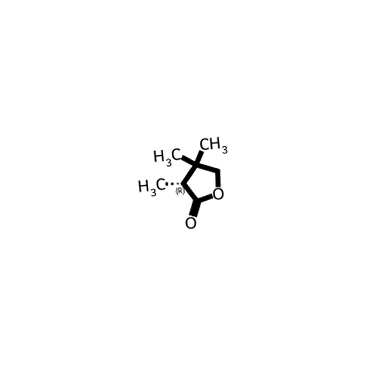 C[C@H]1C(=O)OCC1(C)C